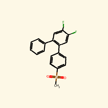 CS(=O)(=O)c1ccc(-c2cc(F)c(F)cc2-c2ccccc2)cc1